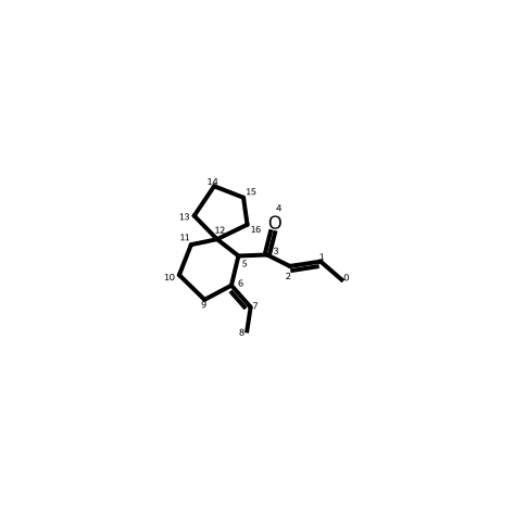 CC=CC(=O)C1C(=CC)CCCC12CCCC2